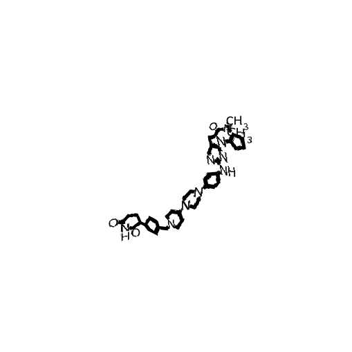 CN(C)C(=O)c1cc2cnc(Nc3ccc(N4CCN(C5CCN(Cc6ccc(C7CCC(=O)NC7=O)cc6)CC5)CC4)cc3)nc2n1C1CCCC1